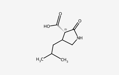 CC(C)CC1CNC(=O)[C@H]1C(=O)O